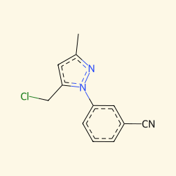 Cc1cc(CCl)n(-c2cccc(C#N)c2)n1